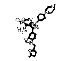 CC(=O)O.COc1cc(-c2nn(C3CCC(N4CCN(C)CC4)CC3)c3ncnc(N)c23)ccc1NCc1ccc(C)s1